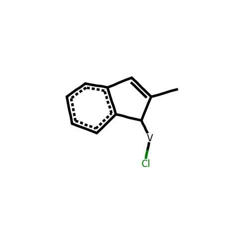 CC1=Cc2ccccc2[CH]1[V][Cl]